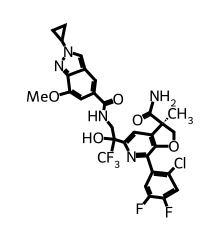 COc1cc(C(=O)NCC(O)(c2cc3c(c(-c4cc(F)c(F)cc4Cl)n2)OC[C@]3(C)C(N)=O)C(F)(F)F)cc2cn(C3CC3)nc12